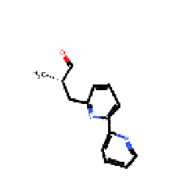 C[C@H](C=O)Cc1cccc(-c2ccccn2)n1